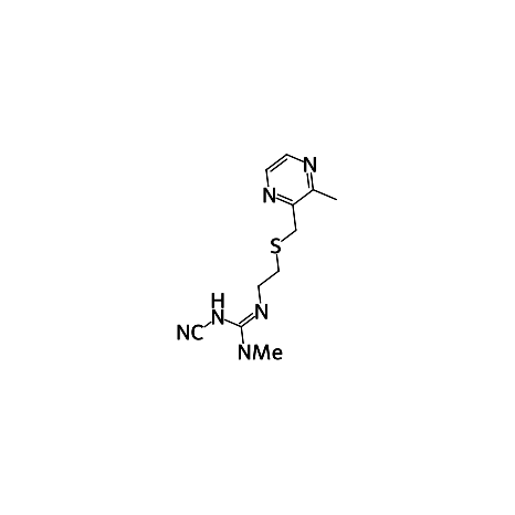 CN/C(=N/CCSCc1nccnc1C)NC#N